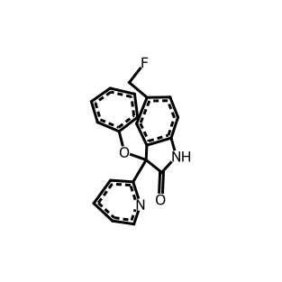 O=C1Nc2ccc(CF)cc2C1(Oc1ccccc1)c1ccccn1